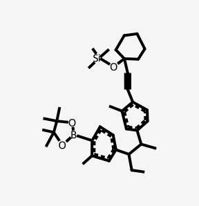 CCC(c1ccc(B2OC(C)(C)C(C)(C)O2)c(C)c1)C(C)c1ccc(C#CC2(O[Si](C)(C)C)CCCCC2)c(C)c1